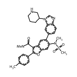 CNC(=O)c1c(-c2ccc(C)cc2)oc2cc(N(C)S(C)(=O)=O)c(-c3ccc4ncn(C5CCCNC5)c4c3)cc12